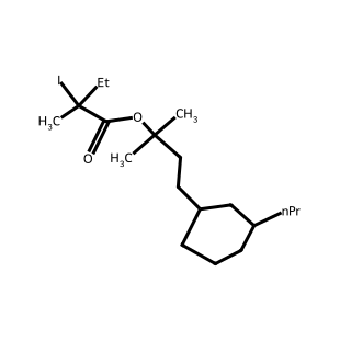 CCCC1CCCC(CCC(C)(C)OC(=O)C(C)(I)CC)C1